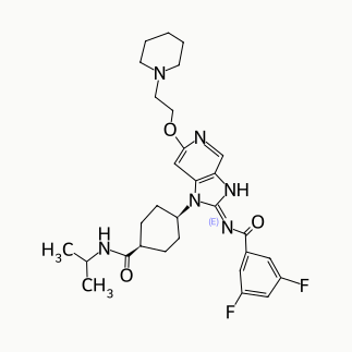 CC(C)NC(=O)[C@H]1CC[C@@H](n2/c(=N/C(=O)c3cc(F)cc(F)c3)[nH]c3cnc(OCCN4CCCCC4)cc32)CC1